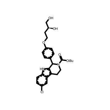 CC(C)COC(=O)N1CCc2c([nH]c3ccc(Cl)cc23)C1c1ccc(OCC[C@H](O)CO)cc1